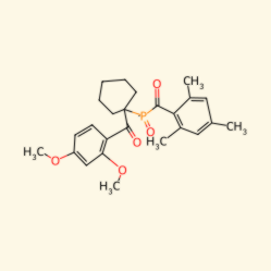 COc1ccc(C(=O)C2([P](=O)C(=O)c3c(C)cc(C)cc3C)CCCCC2)c(OC)c1